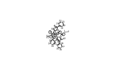 CCOC(=O)c1c(S(=O)(=O)N(C(=O)O)c2csc(-c3ccccc3)c2)c(-c2ccccc2)n(-c2ccccc2)c1C